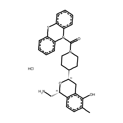 Cc1ccc2c(c1O)C[C@@H](C1CCN(C(=O)N3c4ccccc4Sc4ccccc43)CC1)O[C@H]2CN.Cl